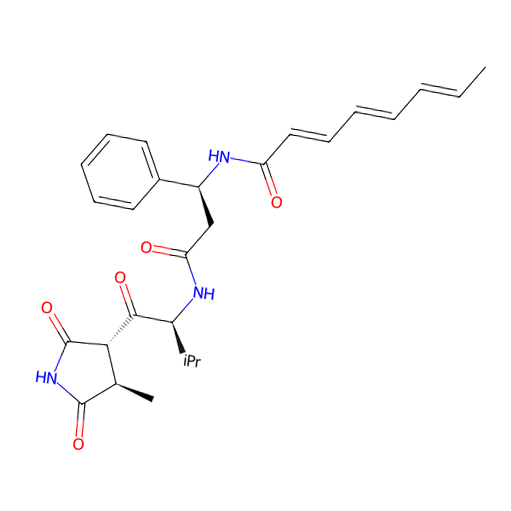 C/C=C/C=C/C=C/C(=O)N[C@@H](CC(=O)N[C@H](C(=O)[C@H]1C(=O)NC(=O)[C@@H]1C)C(C)C)c1ccccc1